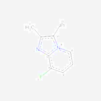 Cc1nc2c(F)cccn2c1C(C)C